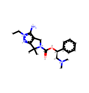 CCn1nc2c(c1N)CN(C(=O)O[C@H](CN(C)C)c1ccccc1)C2(C)C